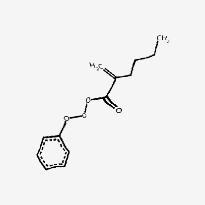 C=C(CCCC)C(=O)OOOc1ccccc1